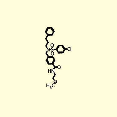 COCCNC(=O)c1ccc(CN(CCCc2ccccc2)S(=O)(=O)c2ccc(Cl)cc2)cc1